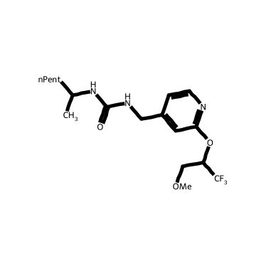 CCCCCC(C)NC(=O)NCc1ccnc(OC(COC)C(F)(F)F)c1